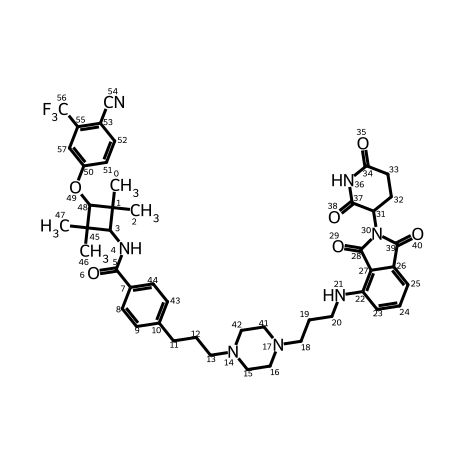 CC1(C)C(NC(=O)c2ccc(CCCN3CCN(CCCNc4cccc5c4C(=O)N(C4CCC(=O)NC4=O)C5=O)CC3)cc2)C(C)(C)C1Oc1ccc(C#N)c(C(F)(F)F)c1